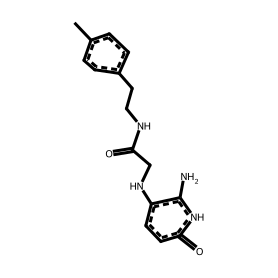 Cc1ccc(CCNC(=O)CNc2ccc(=O)[nH]c2N)cc1